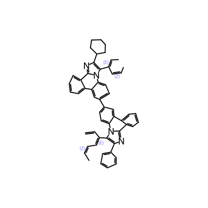 C=C/C(=C\C=C/C)c1c(-c2ccccc2)nc2c3ccccc3c3cc(-c4ccc5c(c4)c4ccccc4c4nc(C6CCCCC6)c(C(/C=C\C)=C/C)n54)ccc3n12